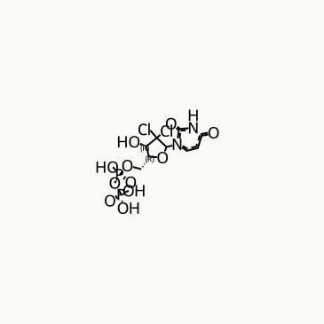 O=c1ccn(C2O[C@H](COP(=O)(O)OP(=O)(O)O)[C@@H](O)C2(Cl)Cl)c(=O)[nH]1